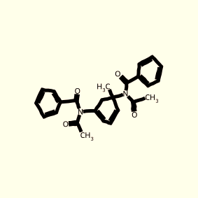 CC(=O)N(C(=O)c1ccccc1)C1=CC=CC(C)(N(C(C)=O)C(=O)c2ccccc2)C1